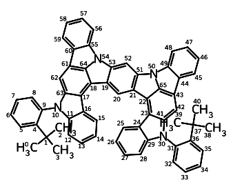 CC(C)(C)c1ccccc1-n1c2ccccc2c2c3c4cc5c6c7c8ccccc8n(-c8ccccc8C(C)(C)C)c7cc7c8ccccc8n(c5cc4n4c5ccccc5c(cc21)c34)c76